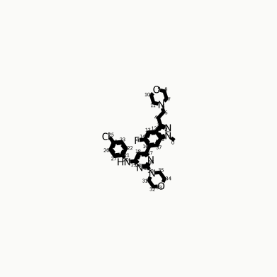 Cn1nc(CCN2CCOCC2)c2cc(F)c(-c3cc(Nc4ccc(Cl)cc4)nc(N4CCOCC4)n3)cc21